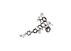 Cc1ccc(C)c(C(F)(F)F)c1N1Cc2cnc(Nc3ccc(N4CCN(C)CC4)cc3)nc2N(C23CC4CC(CC(C4)C2)C3)C1=O